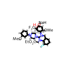 CCOC(=O)CN1c2c(F)cccc2CN(c2cc(C(F)(F)F)ccc2OC)C1N1CCN(c2cccc(OC)c2)CC1.O.[NaH]